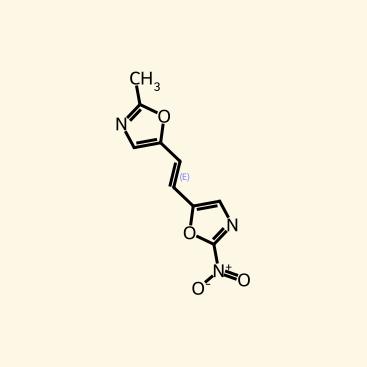 Cc1ncc(/C=C/c2cnc([N+](=O)[O-])o2)o1